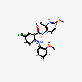 COc1ccc(NC(=O)c2cc(Cl)ccc2Nc2ccc(F)cc2OC)c(C)n1